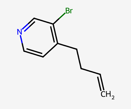 C=CCCc1ccncc1Br